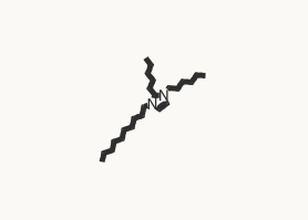 CCCCCCCCCCN1C=CN(CCCCCC)C1CCCCC